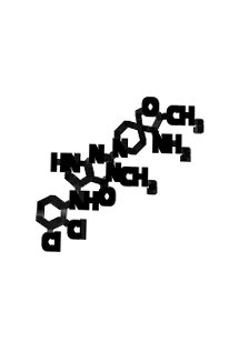 C[C@@H]1OCC2(CCN(c3nc4[nH]cc(Nc5cccc(Cl)c5Cl)c4c(=O)n3C)CC2)[C@@H]1N